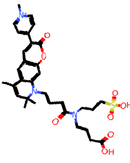 CC1=CC(C)(C)N(CCCC(=O)N(CCCC(=O)O)CCCS(=O)(=O)O)c2cc3oc(=O)c(-c4cc[n+](C)cc4)cc3cc21